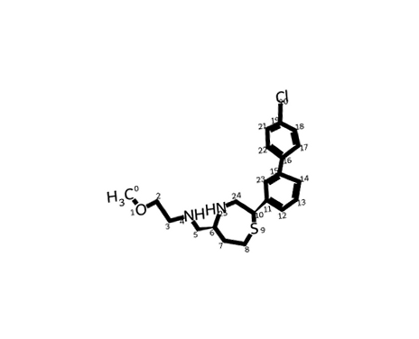 COCCNC[C@@H]1CCS[C@H](c2cccc(-c3ccc(Cl)cc3)c2)CN1